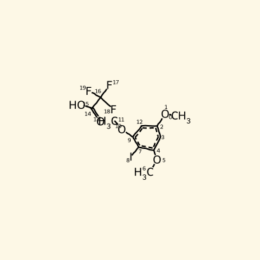 COc1cc(OC)c(I)c(OC)c1.O=C(O)C(F)(F)F